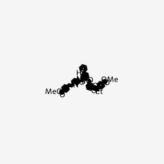 CCN(C1CCC(C(=O)OC)CC1)S(=O)(=O)c1cccc(C(=O)Nc2ccc(N3CCCCC3)cc2C(=O)Nc2ccc(CCc3ccc(C(=O)OC)cc3)nc2)c1